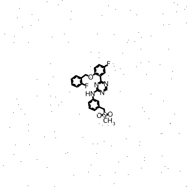 CS(=O)(=O)Cc1cccc(Nc2ncnc(-c3cc(F)ccc3OCc3ccccc3F)n2)c1